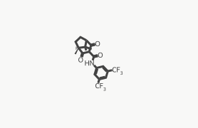 CC1(C)C2CC[C@@]1(C)C(=O)C(C(=O)Nc1cc(C(F)(F)F)cc(C(F)(F)F)c1)C2=O